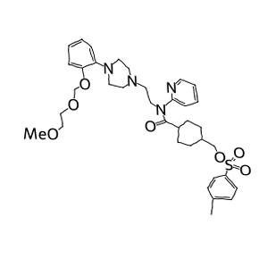 COCCOCOc1ccccc1N1CCN(CCN(C(=O)C2CCC(COS(=O)(=O)c3ccc(C)cc3)CC2)c2ccccn2)CC1